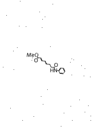 COC(=O)C=CC=CCCC(=O)Nc1ccccc1